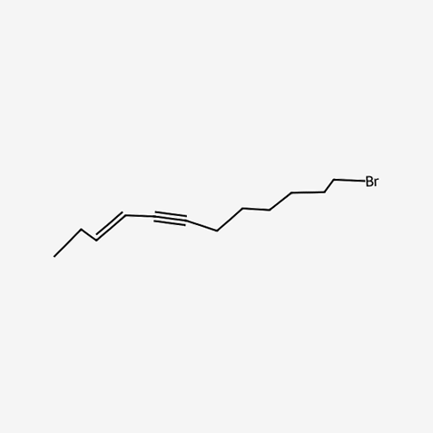 CCC=CC#CCCCCCCBr